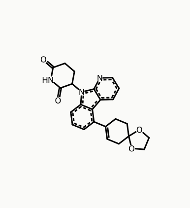 O=C1CCC(n2c3cccc(C4=CCC5(CC4)OCCO5)c3c3cccnc32)C(=O)N1